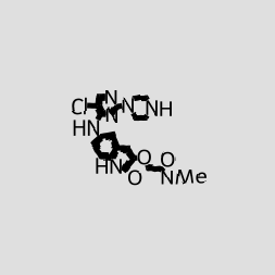 CNC(=O)COc1cc2cc(Nc3nc(N4CCNCC4)ncc3Cl)ccc2[nH]c1=O